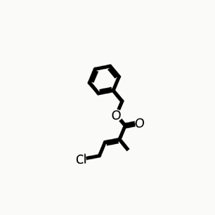 CC(=CCCl)C(=O)OCc1ccccc1